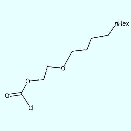 CCCCCCCCCCOCCOC(=O)Cl